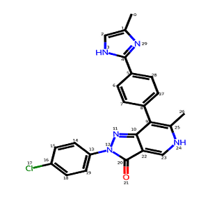 Cc1c[nH]c(-c2ccc(-c3c4nn(-c5ccc(Cl)cc5)c(=O)c-4c[nH]c3C)cc2)n1